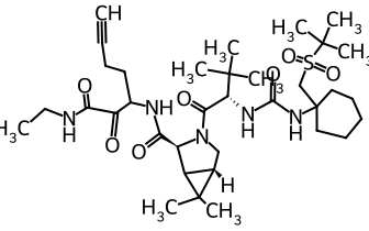 C#CCCC(NC(=O)[C@@H]1C2[C@H](CN1C(=O)[C@@H](NC(=O)NC1(CS(=O)(=O)C(C)(C)C)CCCCC1)C(C)(C)C)C2(C)C)C(=O)C(=O)NCC